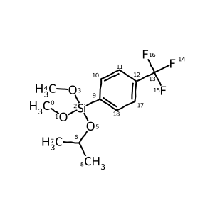 CO[Si](OC)(OC(C)C)c1ccc(C(F)(F)F)cc1